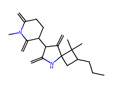 C=C1NC2(CC(CCC)C2(C)C)C(=C)C1C1CCC(=C)N(C)C1=C